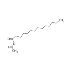 CCCCCCCCCCCCCC(=O)ONC